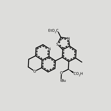 CCOC(=O)c1nc2cc(C)c([C@H](OC(C)(C)C)C(=O)O)c(-c3ccc4c5c(ccnc35)CCO4)c2s1